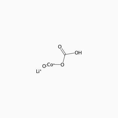 [Li+].[O]=[Co-][O]C(=O)O